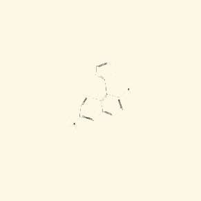 CC(C)(C)c1ccc2c(-c3nccs3)c(C(C)(C)C)ccc2c1